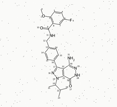 COc1ccc(F)cc1C(=O)NCc1ccc(-c2nn(C(C)C(C)C)c3c(=O)[nH]nc(N)c23)cc1